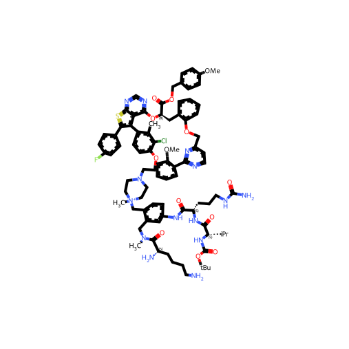 COc1ccc(COC(=O)[C@@H](Cc2ccccc2OCc2ccnc(-c3ccccc3OC)n2)Oc2ncnc3sc(-c4ccc(F)cc4)c(-c4ccc(OCCN5CC[N+](C)(Cc6ccc(NC(=O)[C@H](CCCNC(N)=O)NC(=O)[C@@H](NC(=O)OC(C)(C)C)C(C)C)cc6CN(C)C(=O)[C@@H](N)CCCCN)CC5)c(Cl)c4C)c23)cc1